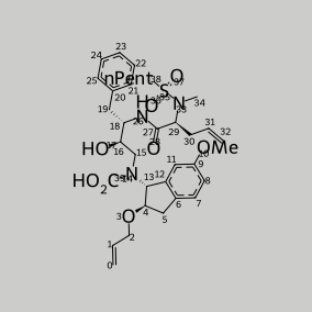 C=CCO[C@@H]1Cc2ccc(OC)cc2[C@H]1N(C[C@@H](O)[C@H](Cc1ccccc1)NC(=O)[C@H](CC=C)N(C)S(=O)(=O)CCCCC)C(=O)O